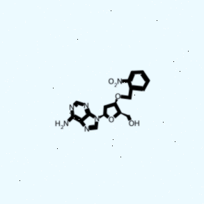 Nc1ncnc2c1ncn2[C@H]1C[C@@H](OCc2ccccc2[N+](=O)[O-])[C@@H](CO)O1